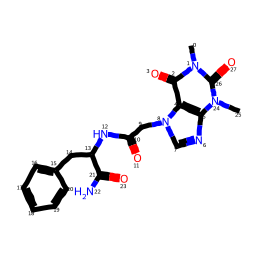 Cn1c(=O)c2c(ncn2CC(=O)NC(Cc2ccccc2)C(N)=O)n(C)c1=O